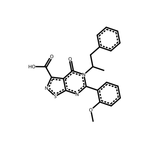 COc1ccccc1-c1nc2snc(C(=O)O)c2c(=O)n1C(C)Cc1ccccc1